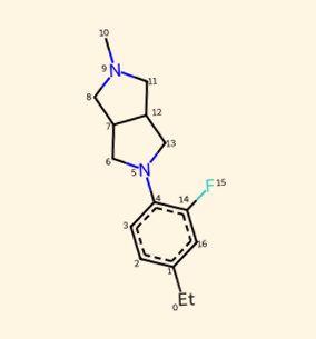 CCc1ccc(N2CC3CN(C)CC3C2)c(F)c1